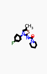 Cc1cn(-c2ccc(F)cc2)/c(=N/C(=O)N2CCCCC2)s1